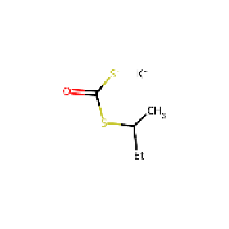 CCC(C)SC(=O)[S-].[K+]